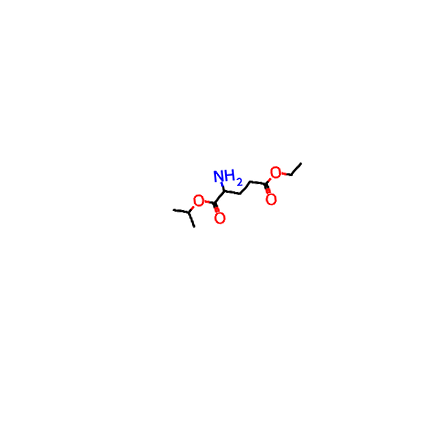 CCOC(=O)CCC(N)C(=O)OC(C)C